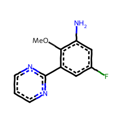 COc1c(N)cc(F)cc1-c1ncccn1